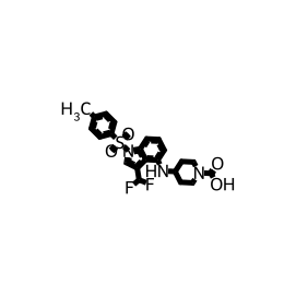 Cc1ccc(S(=O)(=O)n2cc(C(F)F)c3c(NC4CCN(C(=O)O)CC4)cccc32)cc1